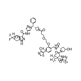 Cc1ncsc1-c1ccc(CNC(=O)[C@@H]2C[C@@H](O)CN2C(=O)C(NC(=O)C2(F)CC2)C(C)(C)C)c(OCCOCCC(=O)N2CC([C@@H](c3ccccc3)n3cc(NC(=O)c4n[nH]c5c4C[C@@H]4C(F)(F)[C@]4(C)C5)cn3)C2)c1